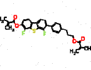 C=C(C)C(=O)OCCCc1ccc(-c2ccc3c(sc4c(F)c(OC(=O)C(=C)C)ccc43)c2F)cc1